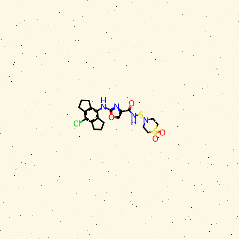 O=C(NSN1CCS(=O)(=O)CC1)c1coc(Nc2c3c(c(Cl)c4c2CCC4)CCC3)n1